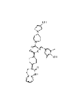 Cc1cc(C[C@@H](OC(=O)N2CCC(N3CCc4ccccc4NC3=O)CC2)C(=O)N2CCC(N3CCC(O)C3)CC2)cc(C)c1O